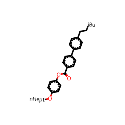 CCCCCCCOc1ccc(OC(=O)c2ccc(-c3ccc(CCC(C)CC)cc3)cc2)cc1